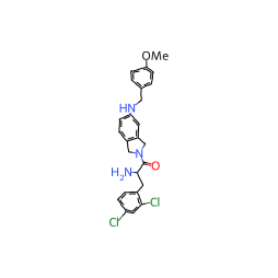 COc1ccc(CNc2ccc3c(c2)CN(C(=O)C(N)Cc2ccc(Cl)cc2Cl)C3)cc1